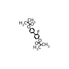 C=C(C)C(=O)Oc1ccc(-c2ccc(OC(=O)C(C)C)cc2F)cc1